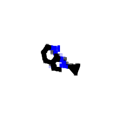 C/C=C1/CCCN/C1=N/NC1CC1